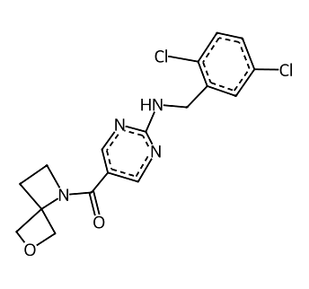 O=C(c1cnc(NCc2cc(Cl)ccc2Cl)nc1)N1CCC12COC2